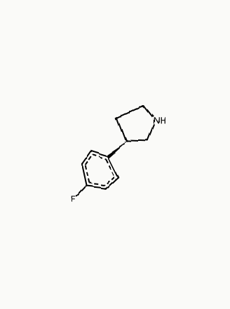 Fc1ccc([C@H]2CCNC2)cc1